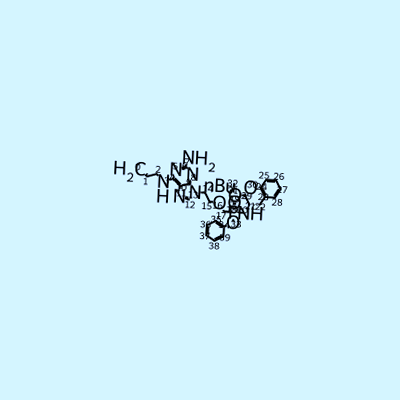 C=CCNc1nc(N)nc2c1ncn2CCOCP(=O)(N[C@@H](Cc1ccccc1)C(=O)OCCCC)Oc1ccccc1